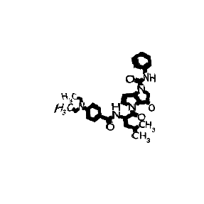 CCN(CC)c1ccc(C(=O)NC(CC(C)C)C(=O)N2CCC3C2C(=O)CN3C(=O)Nc2ccccc2)cc1